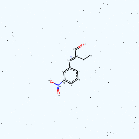 CC/C([C]=O)=C\c1cccc([N+](=O)[O-])c1